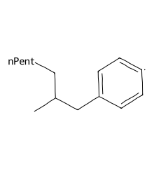 CCCCCCC(C)Cc1cc[c]cc1